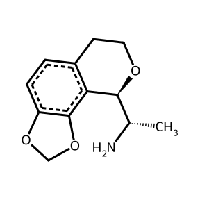 C[C@H](N)[C@@H]1OCCc2ccc3c(c21)OCO3